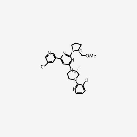 COC[C@@H]1CCCN1c1nc(-c2cncc(Cl)c2)cc(N2CCN(c3ncccc3Cl)C[C@H]2C)n1